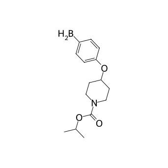 Bc1ccc(OC2CCN(C(=O)OC(C)C)CC2)cc1